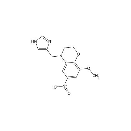 COc1cc([N+](=O)[O-])cc2c1OCCN2Cc1c[nH]cn1